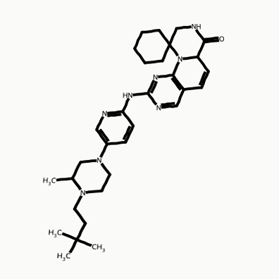 CC1CN(c2ccc(Nc3ncc4c(n3)N3C(C=C4)C(=O)NCC34CCCCC4)nc2)CCN1CCC(C)(C)C